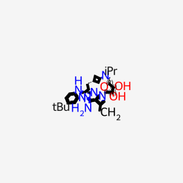 C=Cc1cn([C@@H]2O[C@H](CN(C(C)C)[C@H]3C[C@H](CCc4nc5cc(C(C)(C)C)ccc5[nH]4)C3)[C@@H](O)[C@H]2O)c2ncnc(N)c12